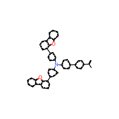 C=C(C)c1ccc(-c2ccc(N(c3ccc(-c4cccc5c4oc4ccccc45)cc3)c3ccc(-c4cccc5c4oc4ccccc45)cc3)cc2)cc1